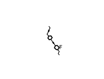 CCC#CCc1ccc(C#Cc2ccc(CCC)c(F)c2)cc1